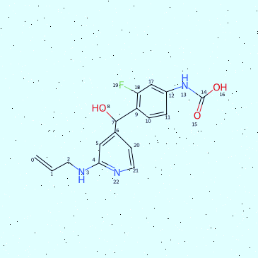 C=CCNc1cc(C(O)c2ccc(NC(=O)O)cc2F)ccn1